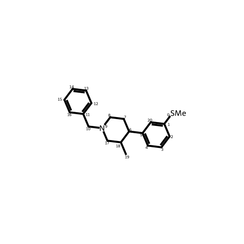 CSc1cccc(C2CCN(Cc3ccccc3)CC2C)c1